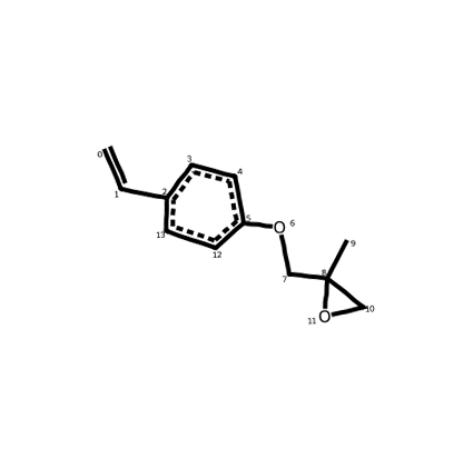 C=Cc1ccc(OCC2(C)CO2)cc1